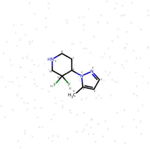 Cc1ccnn1C1CCNCC1(F)F